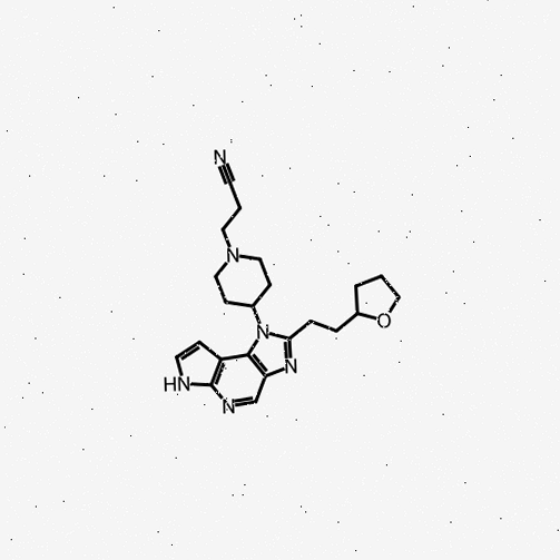 N#CCCN1CCC(n2c(CCC3CCCO3)nc3cnc4[nH]ccc4c32)CC1